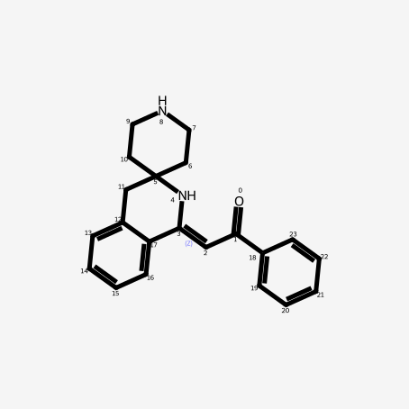 O=C(/C=C1\NC2(CCNCC2)Cc2ccccc21)c1ccccc1